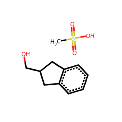 CS(=O)(=O)O.OCC1Cc2ccccc2C1